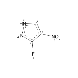 O=[N+]([O-])c1c[nH]nc1F